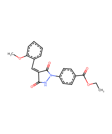 CCOC(=O)c1ccc(N2NC(=O)C(=Cc3ccccc3OC)C2=O)cc1